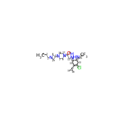 C=CCN1CC(N2CCN(C(=O)CNc3cc(C4CC4)c(Cl)cc3NCC(F)(F)F)CC2)C1